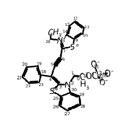 CCN1/C(=C(\C#Cc2sc3ccccc3[n+]2CC)c2ccccc2)Sc2ccccc21.[O-][Cl+3]([O-])([O-])[O-]